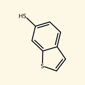 Sc1ccc2ccsc2c1